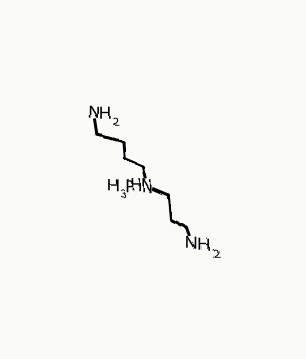 NCCCCNCCCN.P